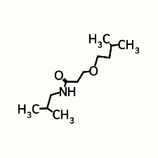 CC(C)CCOCCC(=O)NCC(C)C